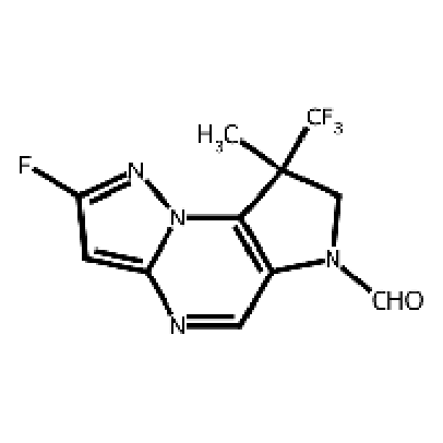 CC1(C(F)(F)F)CN(C=O)c2cnc3cc(F)nn3c21